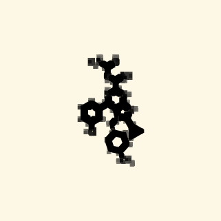 C[C@H]1CC[C@H](Cn2c(C3CC3)nc3nc(C(=N)OC(N)=O)nc(-c4cccc(Cl)c4)c32)CC1